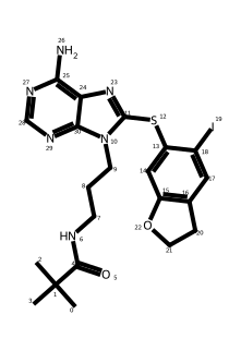 CC(C)(C)C(=O)NCCCn1c(Sc2cc3c(cc2I)CCO3)nc2c(N)ncnc21